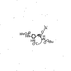 COC(=O)Nc1ccc2c(c1)NC(=O)CCCC[C@H](NC(=O)OC(C)(C)C)c1nc-2cn1COCC[Si](C)(C)C